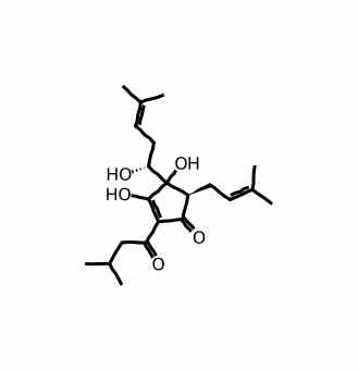 CC(C)=CC[C@@H](O)C1(O)C(O)=C(C(=O)CC(C)C)C(=O)[C@@H]1CC=C(C)C